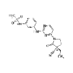 CC[C@]1(C#N)CCN(c2ccnc(Nc3cccc(NS(C)(=O)=O)c3)n2)C1=O